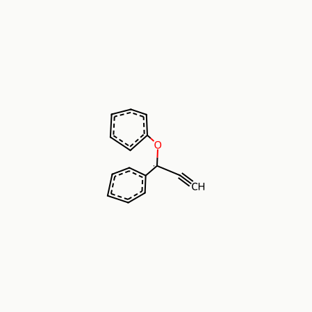 C#C[C](Oc1ccccc1)c1ccccc1